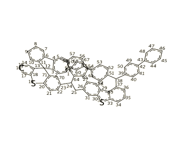 c1ccc2c(c#1)-c1ccccc1C21c2ccccc2Sc2ccc(C(Cc3ccc4c(c3)sc3cccc(C(c5ccc(-c6ccccc6)cc5)c5ccc(-c6ccccc6)cc5)c34)c3ccccc3)cc21